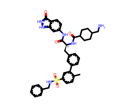 Cc1ccc(S(=O)(=O)NCc2ccccc2)cc1-c1cccc(C[C@H](NC(=O)C2CCC(CN)CC2)C(=O)Nc2ccc3c(=O)[nH][nH]c3c2)c1